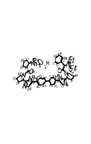 CCN(CC)C(C(=O)N1CCCC1c1ncc(-c2ccc(-c3ccc(-c4cnc(C5CCCN5C(=O)[C@@H]5CCC[C@H]5NC(=O)O)[nH]4)cc3)cc2)[nH]1)c1ccccc1